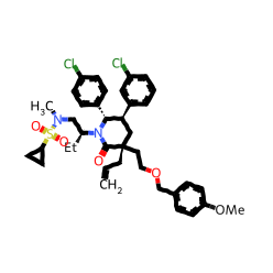 C=CC[C@]1(CCOCc2ccc(OC)cc2)C[C@H](c2cccc(Cl)c2)[C@@H](c2ccc(Cl)cc2)N([C@@H](CC)CN(C)S(=O)(=O)C2CC2)C1=O